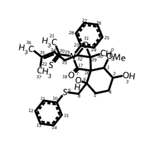 COC1C(O)CCC(O)(CSc2ccccc2)C1(C(=O)N(C(C)=S)c1ccccc1)C1(C)OC1CC=C(C)C